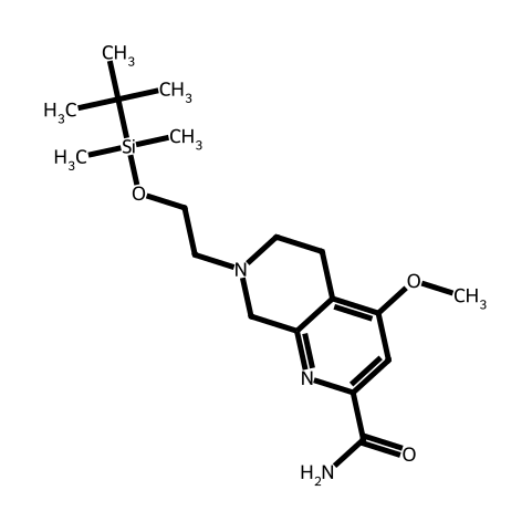 COc1cc(C(N)=O)nc2c1CCN(CCO[Si](C)(C)C(C)(C)C)C2